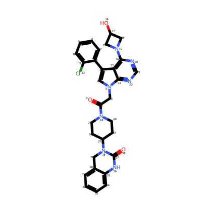 O=C(Cn1cc(-c2ccccc2Cl)c2c(N3CC(O)C3)ncnc21)N1CCC(N2Cc3ccccc3NC2=O)CC1